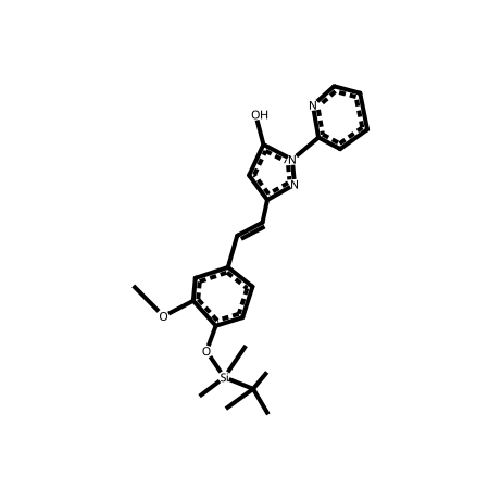 COc1cc(C=Cc2cc(O)n(-c3ccccn3)n2)ccc1O[Si](C)(C)C(C)(C)C